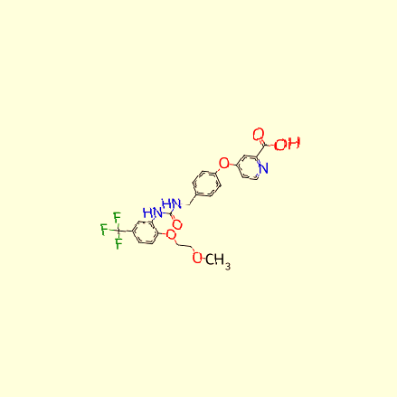 COCCOc1ccc(C(F)(F)F)cc1NC(=O)NCc1ccc(Oc2ccnc(C(=O)O)c2)cc1